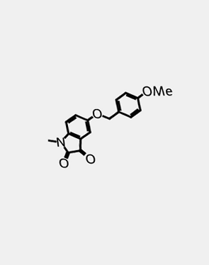 COc1ccc(COc2ccc3c(c2)C(=O)C(=O)N3C)cc1